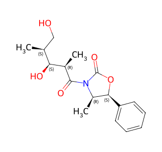 C[C@@H]1[C@H](c2ccccc2)OC(=O)N1C(=O)[C@H](C)[C@@H](O)[C@@H](C)CO